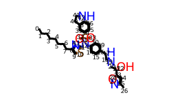 CCCCCCCCc1csc(N(c2ccc(CCNCC(O)c3cc(C)no3)cc2)S(=O)(=O)c2ccc3c(c2)CCN3)n1